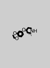 C[C@@H]1C[C@H](Oc2ccc3c(c2)OCCO3)CCN1